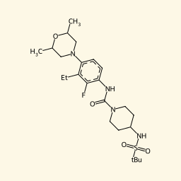 CCc1c(N2CC(C)OC(C)C2)ccc(NC(=O)N2CCC(NS(=O)(=O)C(C)(C)C)CC2)c1F